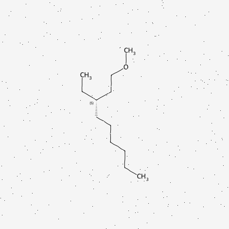 CCCCCC[C@H](CC)CCOC